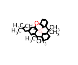 CC(C)(C)Cc1cc2c3c(c1)C(C)(C)c1cccc4c1B3c1c(cccc1C4(C)C)O2